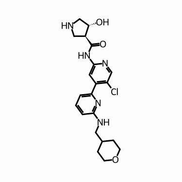 O=C(Nc1cc(-c2cccc(NCC3CCOCC3)n2)c(Cl)cn1)[C@H]1CNC[C@@H]1O